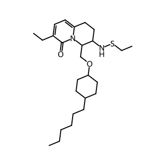 CCCCCCC1CCC(OCC2C(NSCC)CCc3ccc(CC)c(=O)n32)CC1